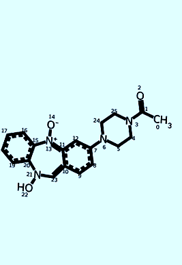 CC(=O)N1CCN(c2ccc3c(c2)=[N+]([O-])c2ccccc2N(O)C=3)CC1